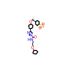 C[C@@H](Oc1ccc(-c2cn(C(=O)NCCCOc3ccccc3)cn2)cc1)c1ccc(S(C)(=O)=O)cc1